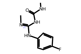 C/N=C(\NC(=O)NC)Nc1ccc(F)cc1